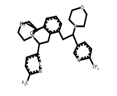 NC(=O)c1cccc(CC(c2ccc(C(F)(F)F)nc2)N2CCOCC2)c1CC(c1ccc(C(F)(F)F)nc1)N1CCOCC1